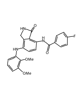 COc1cccc(Nc2ccc(NC(=O)c3ccc(F)cc3)c3c2CNC3=O)c1OC